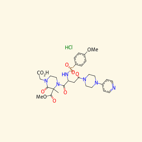 COC(=O)C1(C)C(=O)N(CC(=O)O)CCN1C(=O)C(CC(=O)N1CCN(c2ccncc2)CC1)NS(=O)(=O)c1ccc(OC)cc1.Cl